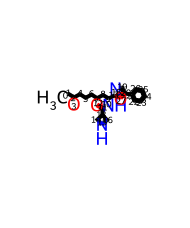 CCC(=O)CCCCCC(NC(=O)C1CNC1)c1ncc(-c2ccccc2)o1